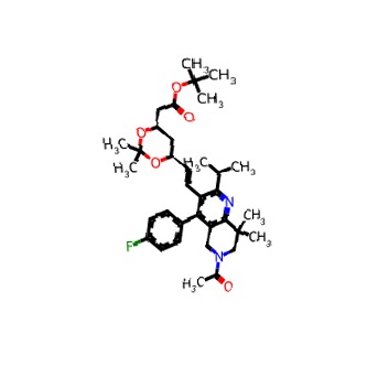 CC(=O)N1Cc2c(nc(C(C)C)c(/C=C/[C@@H]3C[C@H](CC(=O)OC(C)(C)C)OC(C)(C)O3)c2-c2ccc(F)cc2)C(C)(C)C1